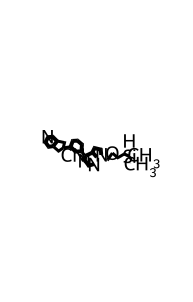 C[SiH](C)CCOCn1ccc2c(-c3cccc(C4(C#N)Cc5ccncc5C4)c3)ncnc21